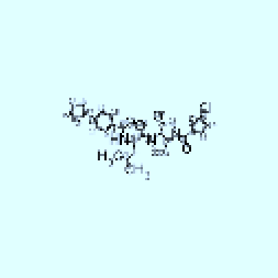 CC(C)CC(NC(=O)c1ccc(-c2cccs2)cc1)C(=O)N1CCC2C1C(=O)CN2C(=O)c1ccc(Cl)s1